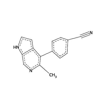 Cc1ncc2[nH]ccc2c1-c1ccc(C#N)cc1